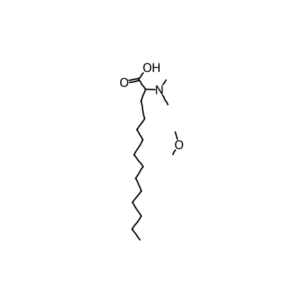 CCCCCCCCCCCCC(C(=O)O)N(C)C.COC